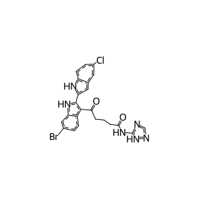 O=C(CCCC(=O)c1c(-c2cc3cc(Cl)ccc3[nH]2)[nH]c2cc(Br)ccc12)Nc1ncn[nH]1